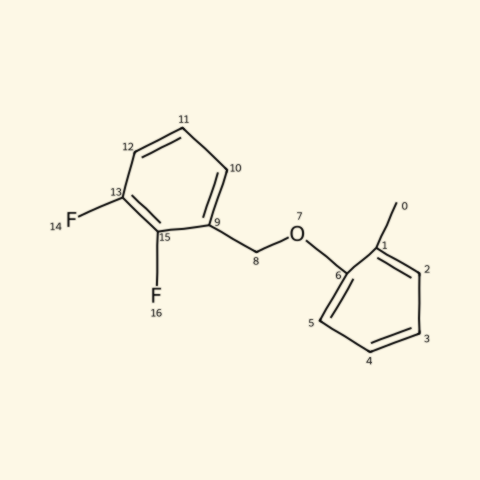 Cc1ccccc1OCc1cccc(F)c1F